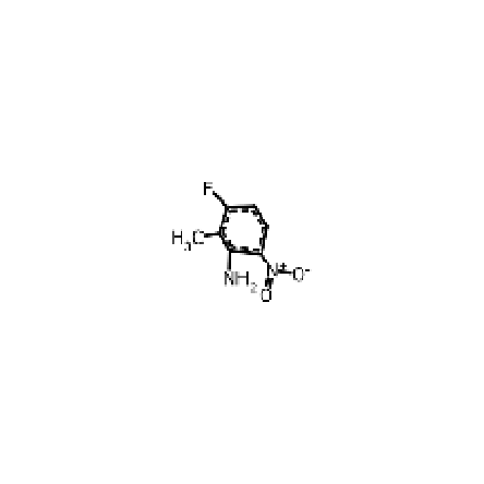 Cc1c(F)ccc([N+](=O)[O-])c1N